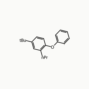 CCCc1cc(C(C)(C)C)ccc1Oc1[c]cccc1